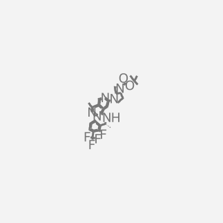 Cc1nnc(N[C@H](C)c2cccc(C(F)(F)F)c2F)c2cc(N3CCC4C3CN4C(=O)OC(C)(C)C)ncc12